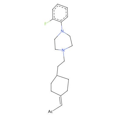 CC(=O)C=C1CCC(CCN2CCN(c3ccccc3F)CC2)CC1